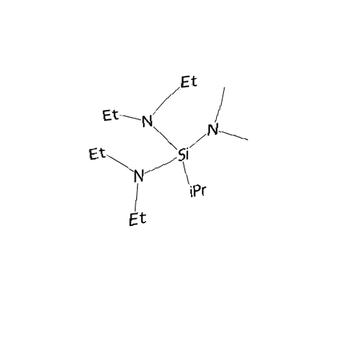 CCN(CC)[Si](C(C)C)(N(C)C)N(CC)CC